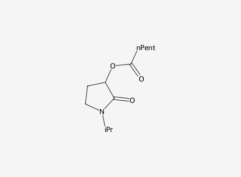 CCCCCC(=O)OC1CCN(C(C)C)C1=O